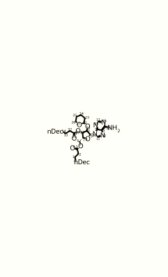 CCCCCCCCCCCCC(=O)OC[C@H]1O[C@@H](n2cnc3c(N)ncnc32)C(OC2CCCCO2)[C@@H]1OC(=O)CCCCCCCCCCCC